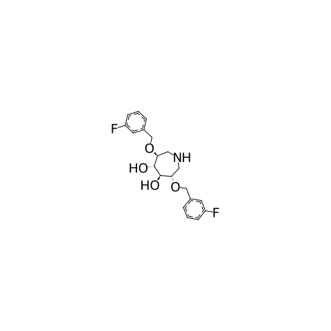 O[C@H]1[C@H](O)[C@@H](OCc2cccc(F)c2)CNC[C@@H]1OCc1cccc(F)c1